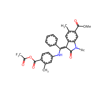 COC(=O)c1cc2c(cc1C)/C(=C(/Nc1ccc(C(=O)OC(=O)C(F)(F)F)c(C)c1)c1ccccc1)C(=O)N2C(C)=O